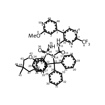 COc1cc(-c2cnc(C(F)(F)F)nc2NC(=O)N(C(c2ccccc2)(c2ccccc2)c2ccccc2)S(=N)(=O)c2cnn3c2OCC(C)(C)C3)ccn1